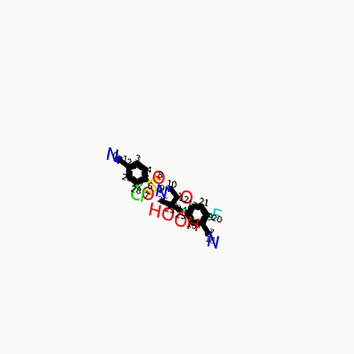 N#Cc1ccc(S(=O)(=O)N2C[C@H](Oc3ccc(C#N)c(F)c3)[C@](O)(CO)C2)c(Cl)c1